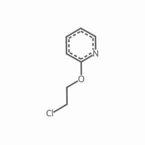 ClCCOc1ccccn1